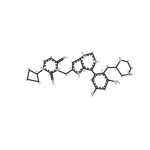 Cc1cc(Cl)cc(-c2ncnc3cc(Cn4c(=O)ccn(C5CCC5)c4=O)sc23)c1CC1CNCCO1